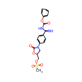 CS(=O)(=O)OCC1CN(c2ccc(C(=N)NC(=O)Oc3ccccc3)cc2)C(=O)O1